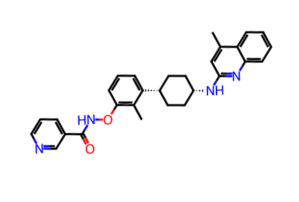 Cc1cc(N[C@H]2CC[C@@H](c3cccc(ONC(=O)c4cccnc4)c3C)CC2)nc2ccccc12